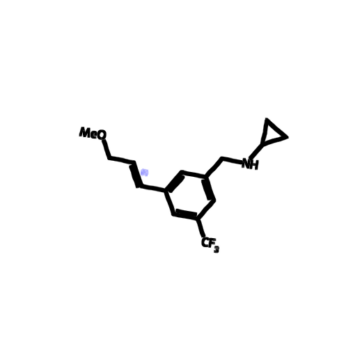 COC/C=C/c1cc(CNC2CC2)cc(C(F)(F)F)c1